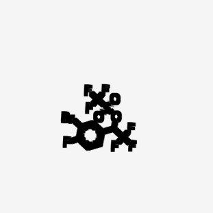 O=S(=O)(OC(c1ccc(F)c(Br)c1)C(F)(F)F)C(F)(F)F